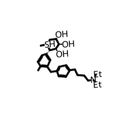 CCN(CC)CCCCc1ccc(Cc2cc([C@H]3[C@H](O)[C@H](O)[C@H](O)C[SH]3C)ccc2C)cc1